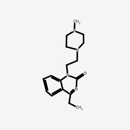 CCc1nc(=O)n(CCN2CCN(C)CC2)c2ccccc12